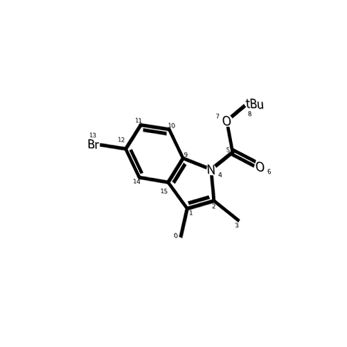 Cc1c(C)n(C(=O)OC(C)(C)C)c2ccc(Br)cc12